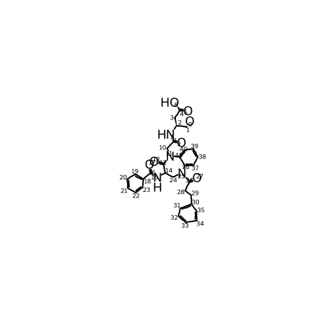 O=C[C@H](CC(=O)O)NC(=O)CN1C(=O)C(NC(=O)c2ccccc2)CN(C(=O)CCc2ccccc2)c2ccccc21